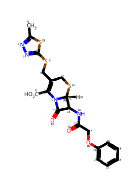 Cc1nnc(SCC2=C(C(=O)O)N3C(=O)C(NC(=O)COc4ccccc4)[C@H]3SC2)s1